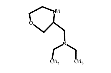 CCN(CC)CC1COCCN1